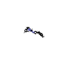 CC(C)c1cc(F)ccc1N1C(=O)CS/C1=N\C(=O)N/C=C/c1ccc(-c2ncn(-c3ccc(OC(F)(F)F)cc3)n2)cc1